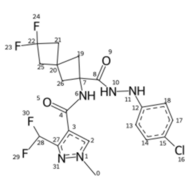 Cn1cc(C(=O)NC2(C(=O)NNc3ccc(Cl)cc3)CC3(CC(F)(F)C3)C2)c(C(F)F)n1